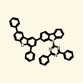 c1ccc(-c2ccc3oc4c(-c5ccccc5)cc(-c5ccc6c7ccccc7n(-c7nc(-c8ccccc8)nc(-c8ccccc8)n7)c6c5)cc4c3c2)cc1